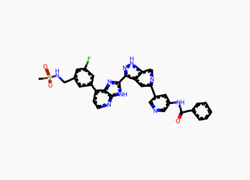 CS(=O)(=O)NCc1cc(F)cc(-c2ccnc3[nH]c(-c4n[nH]c5cnc(-c6cncc(NC(=O)c7ccccc7)c6)cc45)nc23)c1